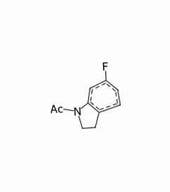 CC(=O)N1CCc2ccc(F)cc21